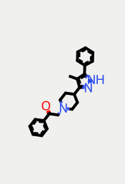 Cc1c(C2CCN(CC(=O)c3ccccc3)CC2)n[nH]c1-c1ccccc1